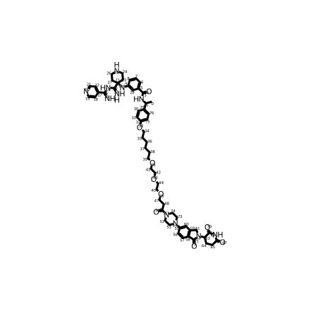 CC(NC(=O)c1cccc(NC2(C(=N)NC(=N)c3ccncc3)CCNCC2)c1)c1ccc(OCCCCCCOCCOCCOCCC(=O)N2CCN(c3ccc4c(c3)CN(C3CCC(=O)NC3=O)C4=O)CC2)cc1